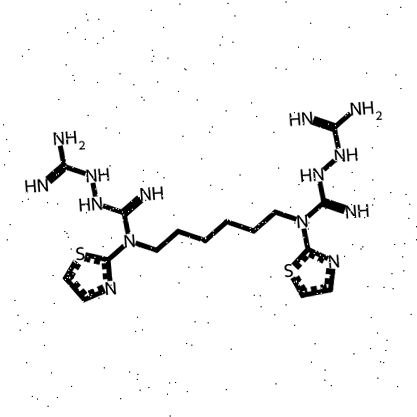 N=C(N)NNC(=N)N(CCCCCCN(C(=N)NNC(=N)N)c1nccs1)c1nccs1